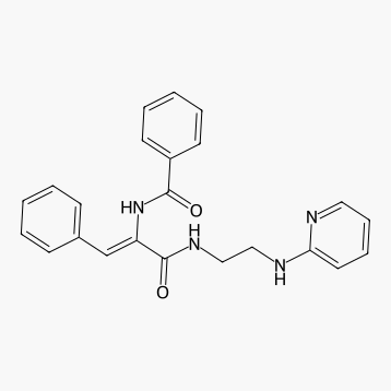 O=C(NCCNc1ccccn1)/C(=C/c1ccccc1)NC(=O)c1ccccc1